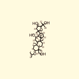 CC(C)O[C@H]1CC[C@@]2(C)C(CCC3(C)C2CC(O)C2C(C4(C)CC(O)C(C(C)(C)O)O4)CCC23C)C1(C)CO